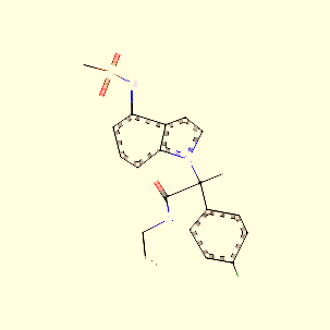 CCC(C(=O)NCC#N)(c1ccc(Cl)cc1)n1ccc2c(NS(C)(=O)=O)cccc21